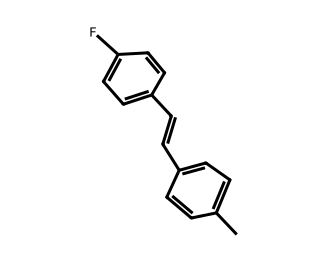 Cc1ccc(C=Cc2ccc(F)cc2)cc1